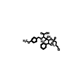 COc1ccc(CO[C@@H](C(=O)O)C(C)(C)C(OS(=O)(=O)CCCCl)C(C)c2ccccc2)cc1